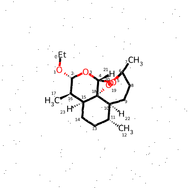 CCO[C@@H]1O[C@@H]2OC3(C)CC[C@H]4[C@H](C)CC[C@@H]([C@H]1C)[C@@]24OO3